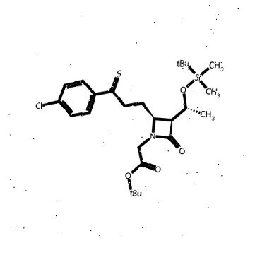 C[C@@H](O[Si](C)(C)C(C)(C)C)[C@H]1C(=O)N(CC(=O)OC(C)(C)C)[C@H]1CCC(=S)c1ccc(Cl)cc1